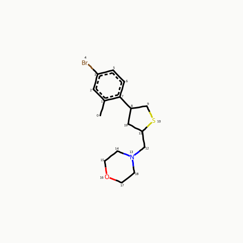 Cc1cc(Br)ccc1C1CSC(CN2CCOCC2)C1